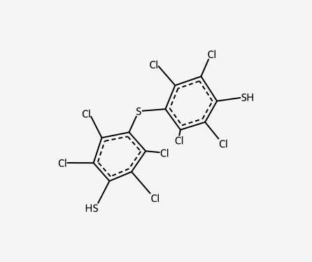 Sc1c(Cl)c(Cl)c(Sc2c(Cl)c(Cl)c(S)c(Cl)c2Cl)c(Cl)c1Cl